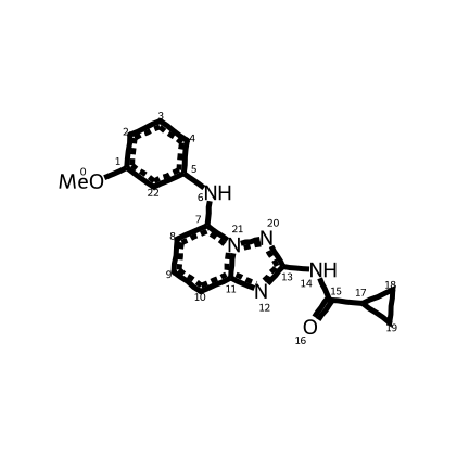 COc1cccc(Nc2cccc3nc(NC(=O)C4CC4)nn23)c1